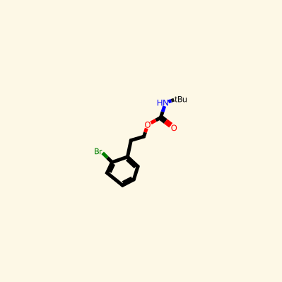 CC(C)(C)NC(=O)OCCc1ccccc1Br